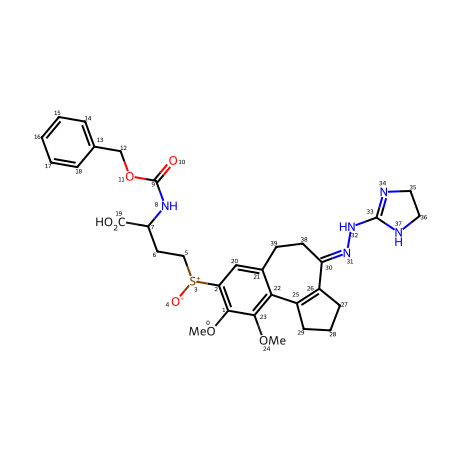 COc1c([S+]([O-])CCC(NC(=O)OCc2ccccc2)C(=O)O)cc2c(c1OC)C1=C(CCC1)C(=NNC1=NCCN1)CC2